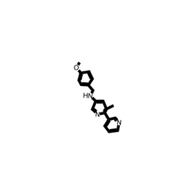 COc1ccc(CNc2cnc(-c3cccnc3)c(C)c2)cc1